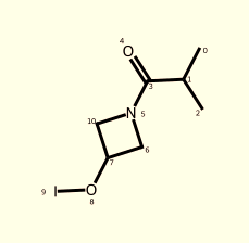 CC(C)C(=O)N1CC(OI)C1